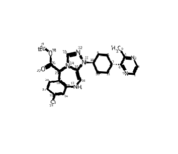 Cc1nccnc1[C@H]1CC[C@H](N2N=CN3C2=CNC2=C(CCC(Cl)=C2)C3C(=O)OC(C)(C)C)CC1